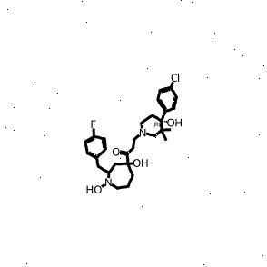 CC1(C)CN(CCC(=O)C2(O)CCCN(O)C(Cc3ccc(F)cc3)C2)CC[C@@]1(O)c1ccc(Cl)cc1